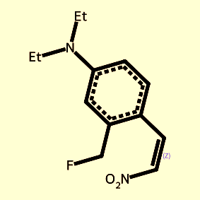 CCN(CC)c1ccc(/C=C\[N+](=O)[O-])c(CF)c1